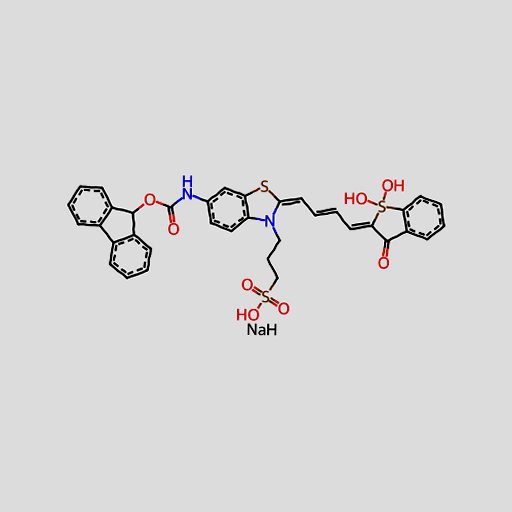 O=C(Nc1ccc2c(c1)SC(=CC=CC=C1C(=O)c3ccccc3S1(O)O)N2CCCS(=O)(=O)O)OC1c2ccccc2-c2ccccc21.[NaH]